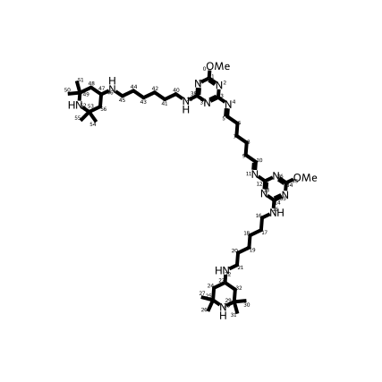 COc1nc(N=CCCCCC=Nc2nc(NCCCCCCNC3CC(C)(C)NC(C)(C)C3)nc(OC)n2)nc(NCCCCCCNC2CC(C)(C)NC(C)(C)C2)n1